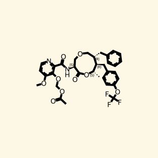 COc1ccnc(C(=O)N[C@H]2COC[C@H](Cc3ccccc3)[C@@H](Cc3ccc(OC(F)(F)F)cc3)[C@H](C)OC2=O)c1OCOC(C)=O